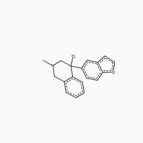 CN1Cc2ccccc2C(Cl)(c2ccc3occc3c2)C1